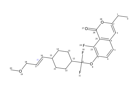 CCc1cc2ccc(OC(F)(F)C3CCC(/C=C/COC)CC3)c(F)c2c(=O)o1